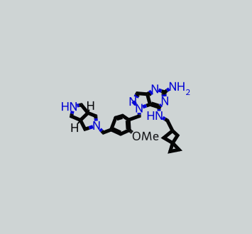 COc1cc(CN2C[C@H]3CNC[C@H]3C2)ccc1Cn1ncc2nc(N)nc(NCC3CC4(CC4)C3)c21